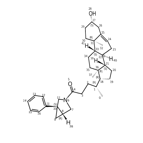 C[C@H](CCC(=O)N1C[C@@H]2C[C@]2(c2ccccc2)C1)[C@H]1CC[C@H]2[C@@H]3CC=C4C[C@@H](O)CC[C@]4(C)[C@H]3CC[C@]12C